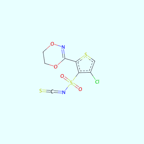 O=S(=O)(N=C=S)c1c(Cl)csc1C1=NOCCO1